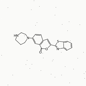 O=c1oc(-c2nc3ccccc3s2)cc2ccc(N3CCCNCC3)cc12